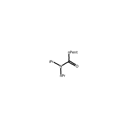 CCCCCC(=O)N(CCC)C(C)C